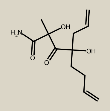 C=CCCC(O)(CC=C)C(=O)C(C)(O)C(N)=O